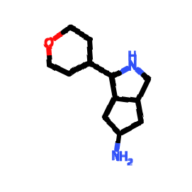 NC1CC2CNC(C3CCOCC3)C2C1